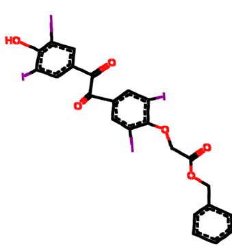 O=C(COc1c(I)cc(C(=O)C(=O)c2cc(I)c(O)c(I)c2)cc1I)OCc1ccccc1